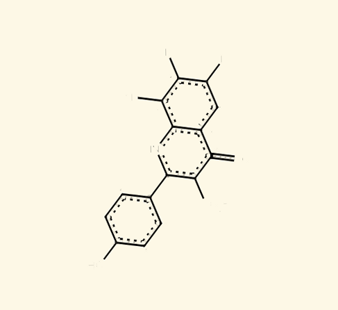 CCOC(=O)c1c(-c2ccc(O)cc2)[nH]c2c(F)c(F)c(F)cc2c1=O